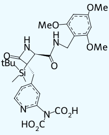 COc1cc(OC)c(CNC(=O)[C@@H]2NC(=O)[C@]2(Cc2ccnc(N(C(=O)O)C(=O)O)c2)[Si](C)(C)C(C)(C)C)c(OC)c1